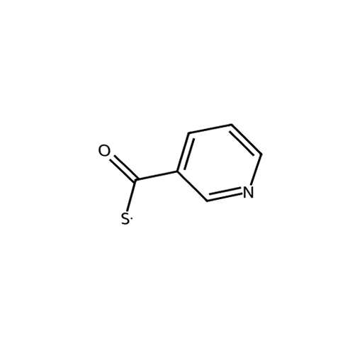 O=C([S])c1cccnc1